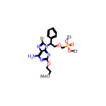 CCOP(=O)(COCC(c1ccccc1)n1c(Br)nc2c(N)nc(OCCOC)nc21)OCC